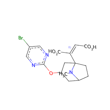 CN1C2CCC1(/C(=C\C(=O)O)C(=O)O)CC(Oc1ncc(Br)cn1)C2